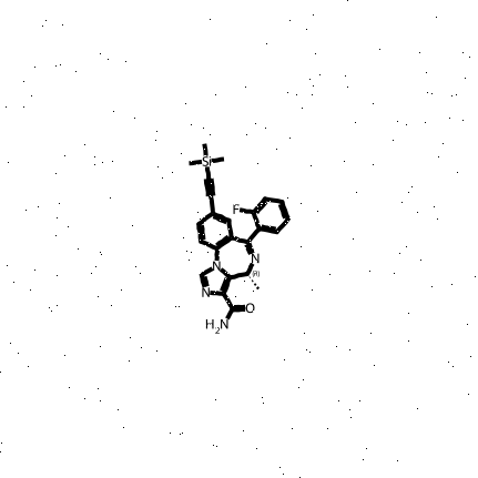 C[C@H]1N=C(c2ccccc2F)c2cc(C#C[Si](C)(C)C)ccc2-n2cnc(C(N)=O)c21